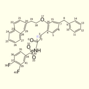 O=C(/C=C/c1ccc(Cc2ccccc2)cc1OCCc1ccc2ccccc2c1)NS(=O)(=O)c1ccc(F)c(F)c1